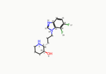 O[C@H]1CCCN[C@@H]1CCCn1cnc2ccc(F)c(F)c21